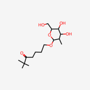 CC1C(OCCCCC(=O)C(C)(C)C)OC(CO)C(O)C1O